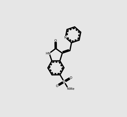 CNS(=O)(=O)c1ccc2c(c1)C(=Cc1ccccn1)C(=O)N2